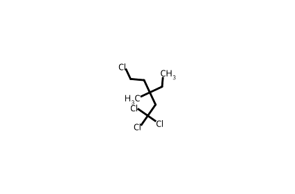 CCC(C)(CCCl)CC(Cl)(Cl)Cl